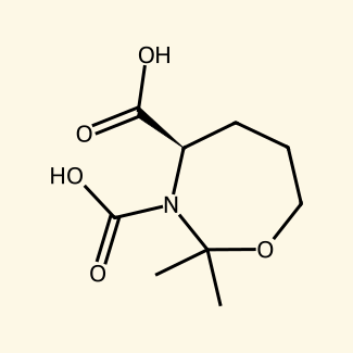 CC1(C)OCCC[C@H](C(=O)O)N1C(=O)O